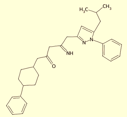 CC(C)Cc1cc(CC(=N)CC(=O)CC2CCC(c3ccccc3)CC2)nn1-c1ccccc1